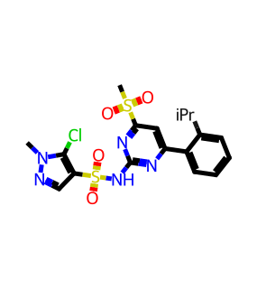 CC(C)c1ccccc1-c1cc(S(C)(=O)=O)nc(NS(=O)(=O)c2cnn(C)c2Cl)n1